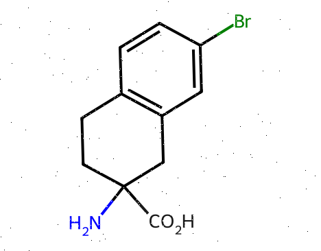 NC1(C(=O)O)CCc2ccc(Br)cc2C1